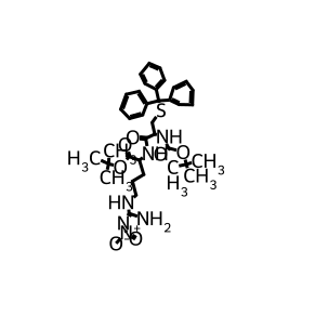 CC(C)(C)OC(=O)NC(CSC(c1ccccc1)(c1ccccc1)c1ccccc1)C(=O)NC(CCCN/C(N)=N/[N+](=O)[O-])C(=O)OC(C)(C)C